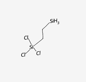 [SiH3]CC[Si](Cl)(Cl)Cl